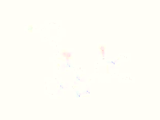 Cc1cc(-c2nnc(N3CCCC3c3cc(-c4cccc(Cl)c4)on3)n2C)cc(=O)n1C